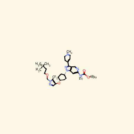 CCN(C(=O)OC(C)(C)C)c1cc2c(cn1)c(C1=CCN(C)CC1)nn2[C@H]1CC[C@@H](Oc2cnn(COCC[Si](C)(C)C)c2C(F)(F)F)CC1